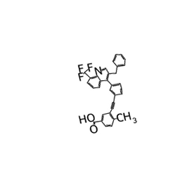 Cc1ccc(C(=O)O)cc1C#Cc1cccc(-c2c(Cc3ccccc3)cnc3c(C(F)(F)F)cccc23)c1